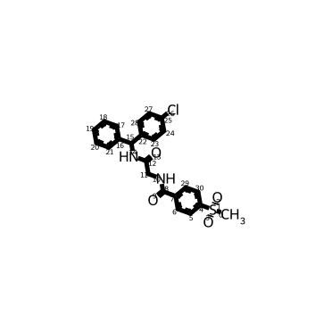 CS(=O)(=O)c1ccc(C(=O)NCC(=O)NC(c2ccccc2)c2ccc(Cl)cc2)cc1